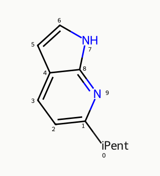 CCCC(C)c1ccc2cc[nH]c2n1